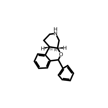 c1ccc(C2O[C@H]3CNCC[C@H]3c3ccccc32)cc1